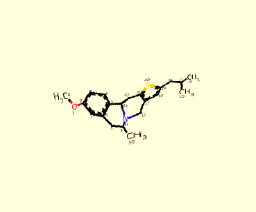 COc1ccc2c(c1)CC(C)N1Cc3cc(CC(C)C)sc3CC21